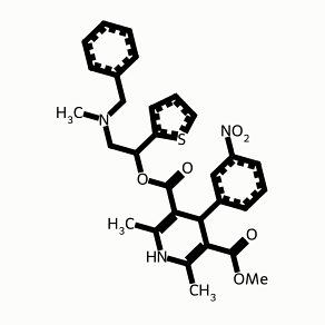 COC(=O)C1=C(C)NC(C)=C(C(=O)OC(CN(C)Cc2ccccc2)c2cccs2)C1c1cccc([N+](=O)[O-])c1